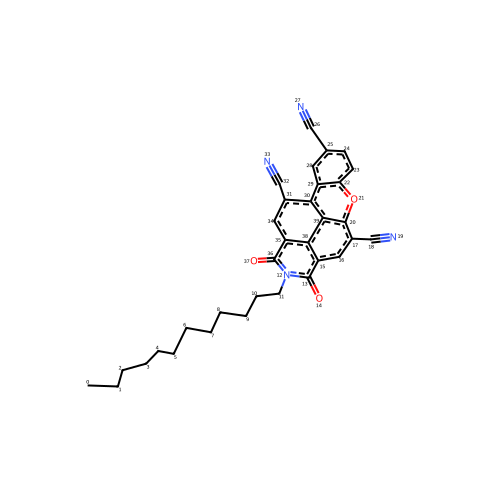 CCCCCCCCCCCCn1c(=O)c2cc(C#N)c3oc4ccc(C#N)cc4c4c(C#N)cc(c1=O)c2c34